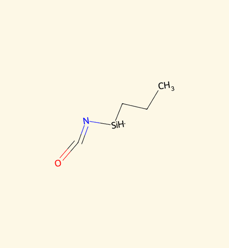 CCC[SiH]N=C=O